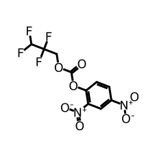 O=C(OCC(F)(F)C(F)F)Oc1ccc([N+](=O)[O-])cc1[N+](=O)[O-]